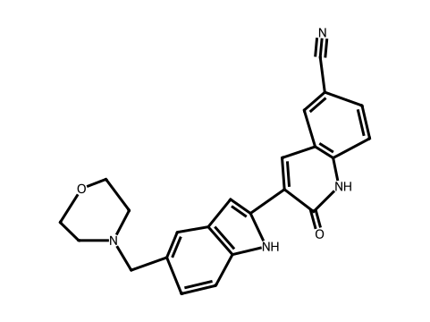 N#Cc1ccc2[nH]c(=O)c(-c3cc4cc(CN5CCOCC5)ccc4[nH]3)cc2c1